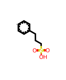 O=S(=O)(O)CCCc1cc[c]cc1